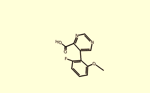 COc1cccc(F)c1-c1cncnc1C(=O)O